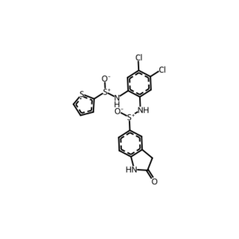 O=C1Cc2cc([S+]([O-])Nc3cc(Cl)c(Cl)cc3N[S+]([O-])c3cccs3)ccc2N1